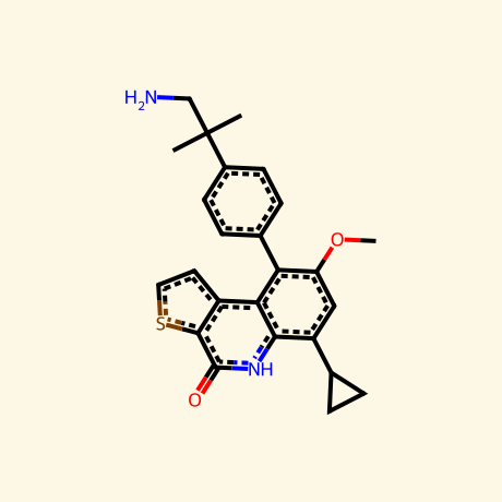 COc1cc(C2CC2)c2[nH]c(=O)c3sccc3c2c1-c1ccc(C(C)(C)CN)cc1